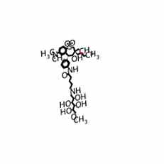 CCCC[C@]1(CC)CS(=O)(=O)c2ccc(N(C)C)cc2[C@@H](c2cccc(NC(=O)CCCCNC[C@H](O)[C@@H](O)[C@H](O)[C@H](O)COC)c2)[C@H]1O